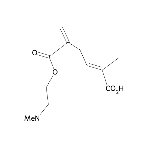 C=C(CC=C(C)C(=O)O)C(=O)OCCNC